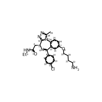 CCNC(=O)C[C@@H]1N=C(c2ccc(Cl)cc2)c2cc(OCCCCN)ccc2-n2c(C)nnc21